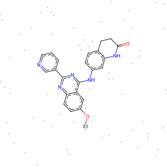 CCOc1ccc2nc(-c3cccnc3)nc(Nc3ccc4c(c3)NC(=O)CC4)c2c1